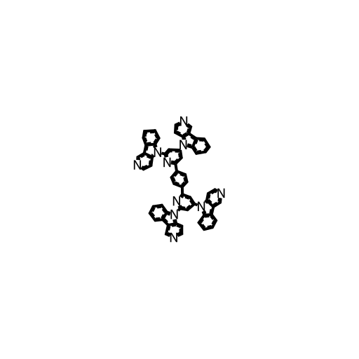 c1ccc2c(c1)c1cnccc1n2-c1cc(-c2ccc(-c3cc(-n4c5ccccc5c5cnccc54)cc(-n4c5ccccc5c5cnccc54)n3)cc2)nc(-n2c3ccccc3c3cnccc32)c1